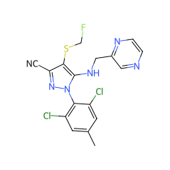 Cc1cc(Cl)c(-n2nc(C#N)c(SCF)c2NCc2cnccn2)c(Cl)c1